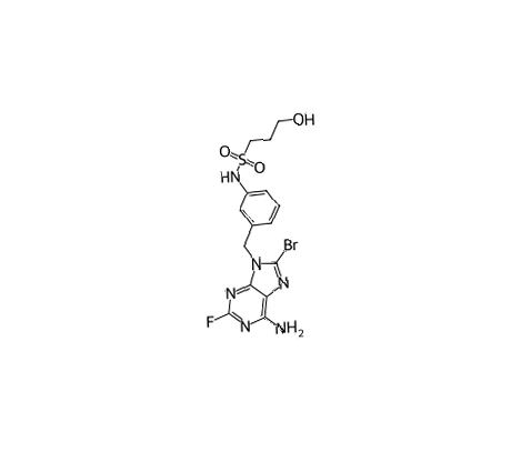 Nc1nc(F)nc2c1nc(Br)n2Cc1cccc(NS(=O)(=O)CCCO)c1